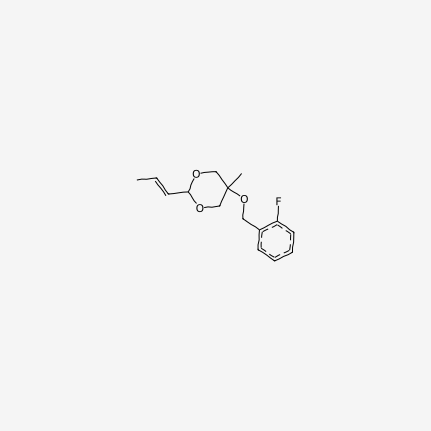 CC=CC1OCC(C)(OCc2ccccc2F)CO1